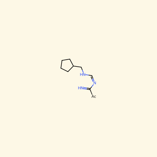 CC(=O)C(=N)/N=C\NCC1CCCC1